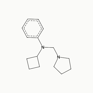 c1ccc(N(CN2CCCC2)C2CCC2)cc1